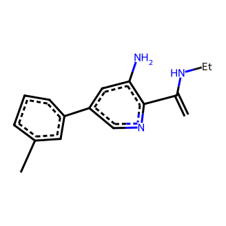 C=C(NCC)c1ncc(-c2cccc(C)c2)cc1N